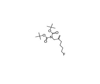 C=C(CCCCF)CN(C(=O)OC(C)(C)C)C(=O)OC(C)(C)C